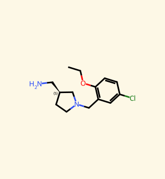 CCOc1ccc(Cl)cc1CN1CC[C@@H](CN)C1